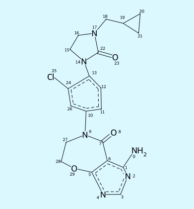 Nc1ncnc2c1C(=O)N(c1ccc(N3CCN(CC4CC4)C3=O)c(Cl)c1)CCO2